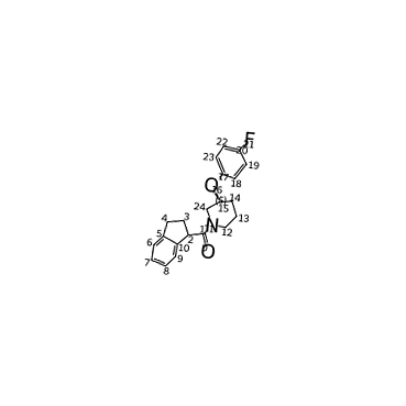 O=C(C1CCc2ccccc21)N1CCC[C@H](Oc2ccc(F)cc2)C1